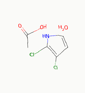 CC(=O)O.Clc1cc[nH]c1Cl.O